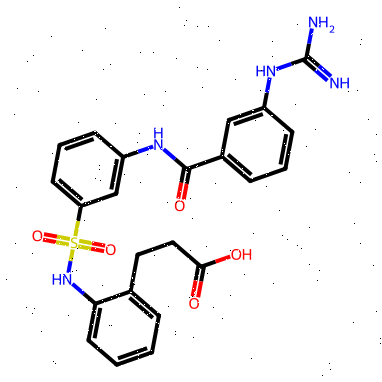 N=C(N)Nc1cccc(C(=O)Nc2cccc(S(=O)(=O)Nc3ccccc3CCC(=O)O)c2)c1